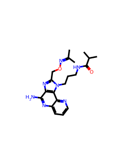 CC(C)=NOCc1nc2c(N)nc3cccnc3c2n1CCCNC(=O)C(C)C